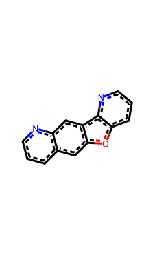 c1cnc2cc3c(cc2c1)oc1cccnc13